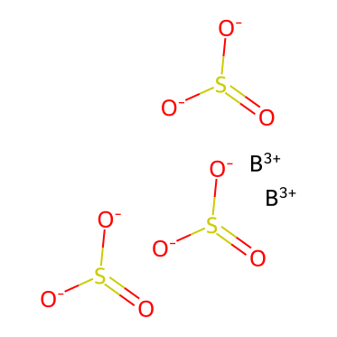 O=S([O-])[O-].O=S([O-])[O-].O=S([O-])[O-].[B+3].[B+3]